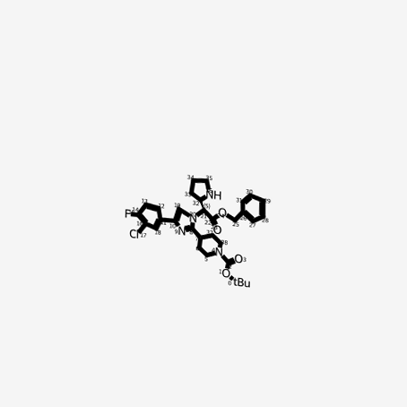 CC(C)(C)OC(=O)N1CCC(c2nc(-c3ccc(F)c(Cl)c3)cn2[C@H](C(=O)OCc2ccccc2)C2CCCN2)CC1